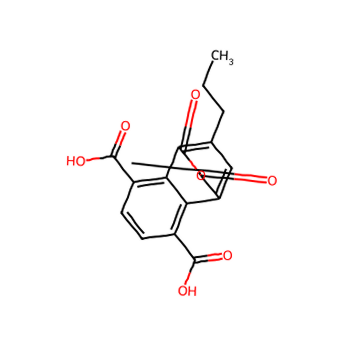 CCCc1cc2c(=O)oc(=O)c1c1c(C(=O)O)ccc(C(=O)O)c21